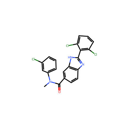 CN(C(=O)c1ccc2nc(-c3c(Cl)cccc3Cl)[nH]c2c1)c1cccc(Cl)c1